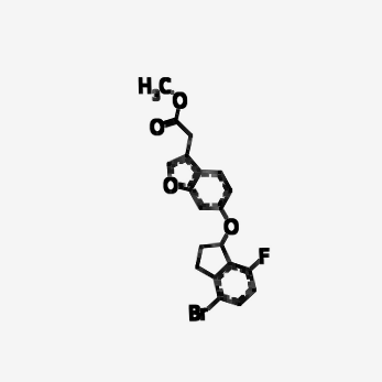 COC(=O)Cc1coc2cc(OC3CCc4c(Br)ccc(F)c43)ccc12